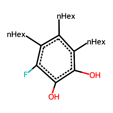 CCCCCCc1c(O)c(O)c(F)c(CCCCCC)c1CCCCCC